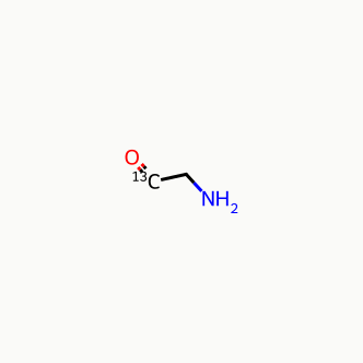 NC[13CH]=O